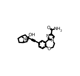 NC(=O)c1cn2c(n1)-c1cc(C#CC3(O)CC4CCC(C3)N4)ccc1OCC2